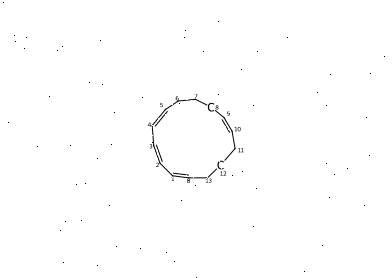 [C]1=CC=CC=CCCCC=CCCC1